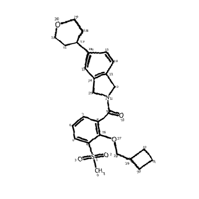 CS(=O)(=O)c1cccc(C(=O)N2Cc3ccc(C4CCOCC4)cc3C2)c1OCC1CCC1